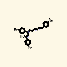 CN(C)c1ccc(/C=C/C=C/C/C=C(\C=C(/O)c2ccc(Br)cc2)c2ccc(Br)cc2)cc1